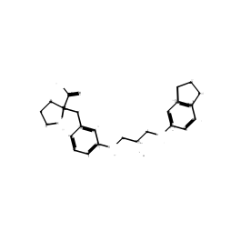 O=C(O)C1(Cc2cccc(OC[C@@H](O)COc3ccc4c(c3)CCC4)c2)CCCO1